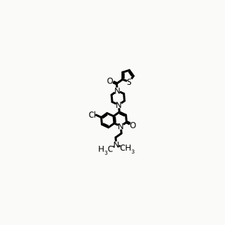 CN(C)CCn1c(=O)cc(N2CCN(C(=O)c3cccs3)CC2)c2cc(Cl)ccc21